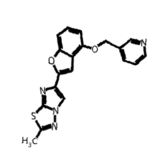 Cc1nn2cc(-c3cc4c(OCc5cccnc5)cccc4o3)nc2s1